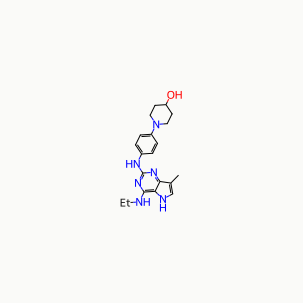 CCNc1nc(Nc2ccc(N3CCC(O)CC3)cc2)nc2c(C)c[nH]c12